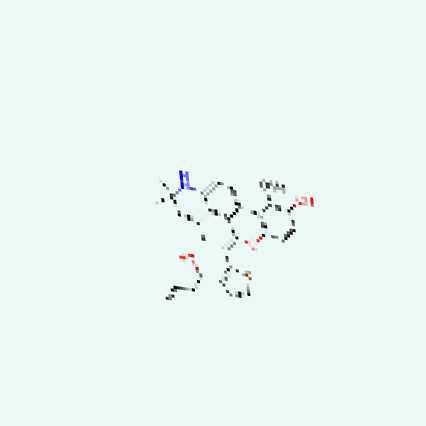 C=CC[C@@H](O)c1ccsc1/C=C1\Oc2ccc(O)c(OC)c2-c2ccc3c(c21)C(C)=CC(C)(C)N3